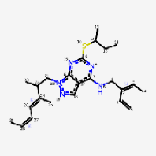 C=C/C(=C\C)CNc1nc(SC(C)CC)nc2c1cnn2CC(C)/C(C)=C/C=C\C